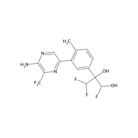 Cc1ccc(C(O)(C(O)F)C(F)F)cc1-c1cnc(N)c(C(F)(F)F)n1